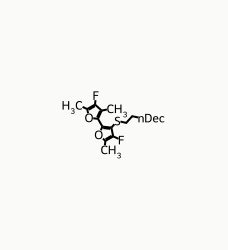 CCCCCCCCCCCCSc1c(-c2oc(C)c(F)c2C)oc(C)c1F